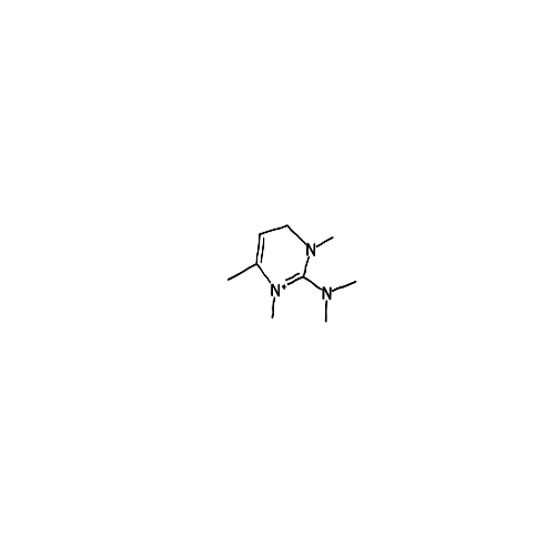 CC1=CCN(C)C(N(C)C)=[N+]1C